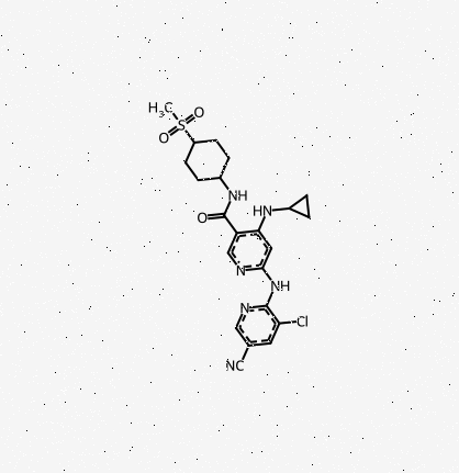 CS(=O)(=O)C1CCC(NC(=O)c2cnc(Nc3ncc(C#N)cc3Cl)cc2NC2CC2)CC1